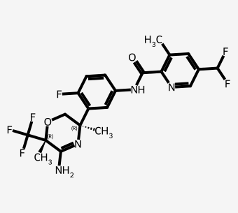 Cc1cc(C(F)F)cnc1C(=O)Nc1ccc(F)c([C@]2(C)CO[C@@](C)(C(F)(F)F)C(N)=N2)c1